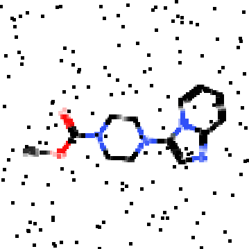 CC(C)(C)OC(=O)N1CCN(c2cnc3ccccn23)CC1